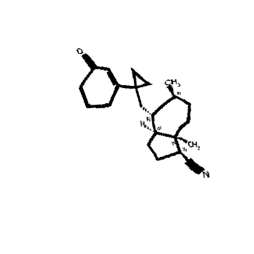 C[C@H]1CC[C@]2(C)[C@@H](C#N)CC[C@H]2[C@@H]1CC1(C2=CC(=O)CCC2)CC1